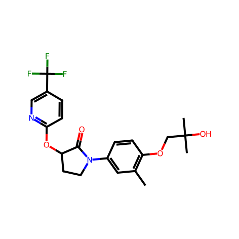 Cc1cc(N2CCC(Oc3ccc(C(F)(F)F)cn3)C2=O)ccc1OCC(C)(C)O